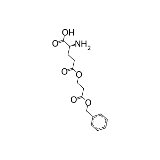 N[C@@H](CCC(=O)OCCC(=O)OCc1ccccc1)C(=O)O